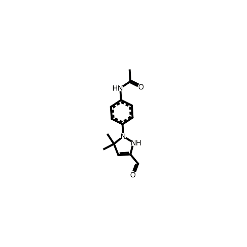 CC(=O)Nc1ccc(N2NC(C=O)=CC2(C)C)cc1